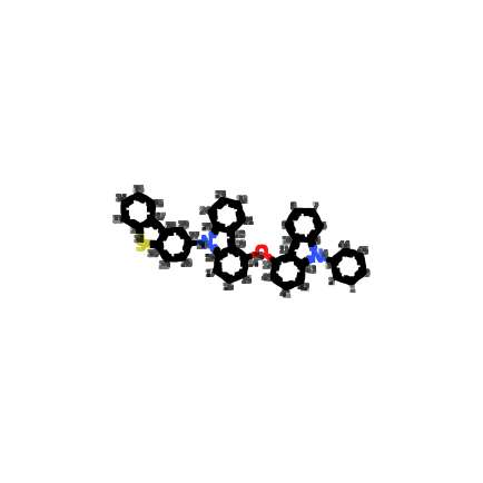 c1ccc(-n2c3ccccc3c3c(Oc4cccc5c4c4ccccc4n5-c4ccc5sc6ccccc6c5c4)cccc32)cc1